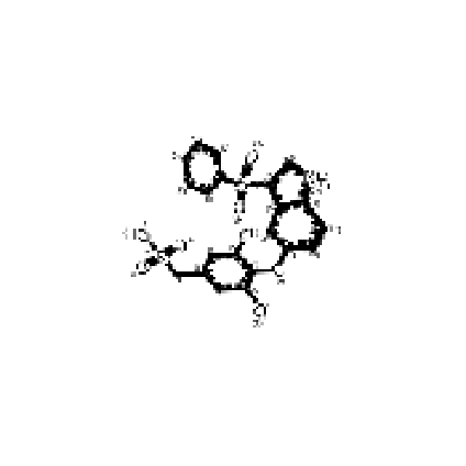 O=S(=O)(O)Cc1cc(Cl)c(Oc2ccc3[nH]cc(S(=O)(=O)c4ccccc4)c3c2)c(Cl)c1